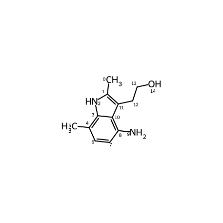 Cc1[nH]c2c(C)ccc(N)c2c1CCO